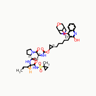 C=CC1PC1(NC(=O)[C@@H]1CCCN1C(=O)[C@@H](NC(=O)OC1C[C@H]1CCCCCc1c(O)nc2ccccc2c1OC1C2COCC1CN(CC)C2)C(C)(C)C)C(=O)NS(=O)(=O)C1(C)CC1